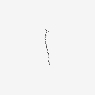 C[CH]C#CCCCCCCCCCCCCC